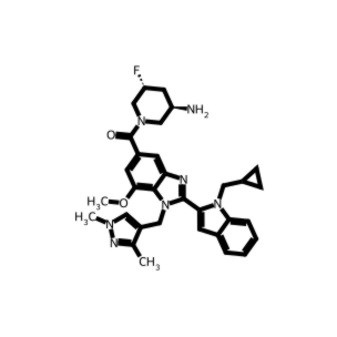 COc1cc(C(=O)N2C[C@H](N)C[C@@H](F)C2)cc2nc(-c3cc4ccccc4n3CC3CC3)n(Cc3cn(C)nc3C)c12